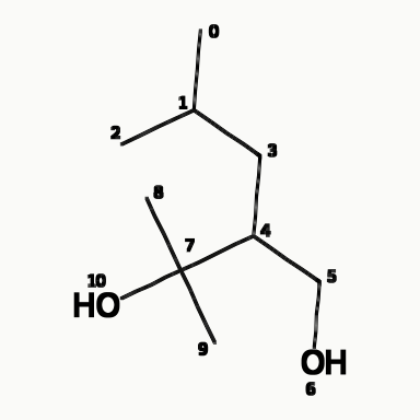 CC(C)CC(CO)C(C)(C)O